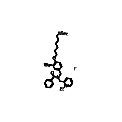 CCCCCCCCCCCCCCCCOc1ccc(CN(Cc2cccc[n+]2CC)C(=O)c2ccccc2)cc1C(C)(C)C.[I-]